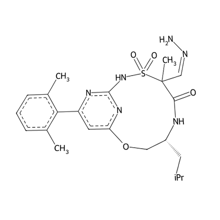 Cc1cccc(C)c1-c1cc2nc(n1)NS(=O)(=O)C(C)(/C=N\N)C(=O)N[C@H](CC(C)C)CO2